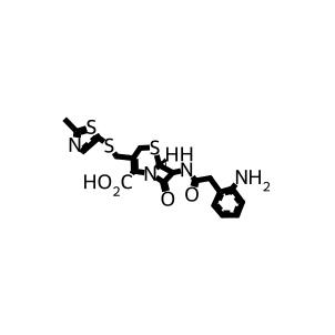 Cc1ncc(SCC2=C(C(=O)O)N3C(=O)C(NC(=O)Cc4ccccc4N)[C@H]3SC2)s1